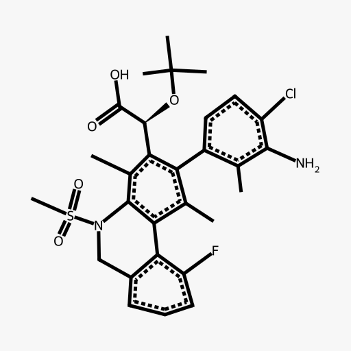 Cc1c(-c2c(C)c3c(c(C)c2[C@H](OC(C)(C)C)C(=O)O)N(S(C)(=O)=O)Cc2cccc(F)c2-3)ccc(Cl)c1N